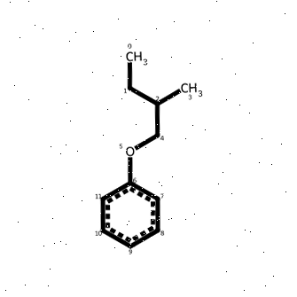 CCC(C)COc1cc[c]cc1